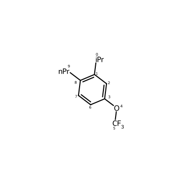 [CH2]C(C)c1cc(OC(F)(F)F)ccc1CCC